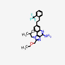 CCOCc1nc2c(N)nc3cc(CCc4ccccc4C(F)(F)F)ccc3c2n1CC(C)C